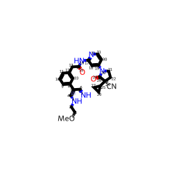 COCCN/C=C(\C=N)c1cccc(CC(=O)Nc2cc(N3CC[C@@](C#N)(C4CC4)C3=O)ccn2)c1